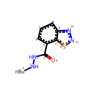 CCCCNNC(=O)c1cccc2nnsc12